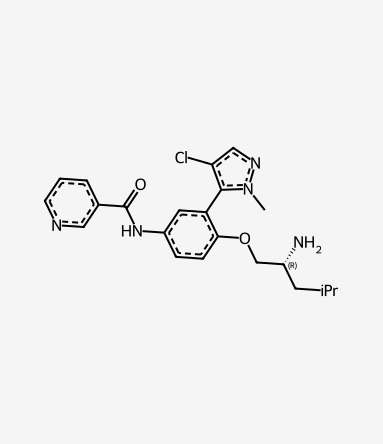 CC(C)C[C@@H](N)COc1ccc(NC(=O)c2cccnc2)cc1-c1c(Cl)cnn1C